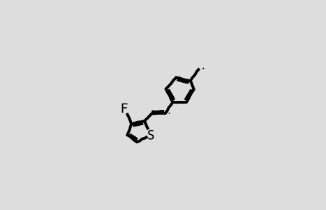 [CH2]c1ccc([C]=Cc2sccc2F)cc1